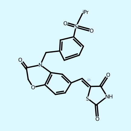 CC(C)S(=O)(=O)c1cccc(CN2C(=O)COc3ccc(/C=C4\SC(=O)NC4=O)cc32)c1